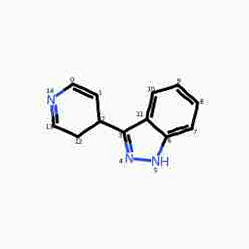 C1=CC(c2n[nH]c3ccccc23)CC=N1